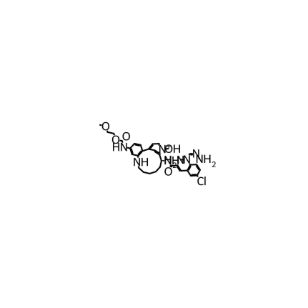 COCCOC(=O)Nc1ccc2c(c1)NCCCCC[C@H](NC(=O)/C=C/c1cc(Cl)ccc1N(N)/C=N\N)c1cc-2cc[n+]1O